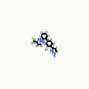 Cn1ccc(-c2c(F)cc(-c3ccccc3[N+]3(C)C=CC(C(F)F)=N3)cc2F)n1